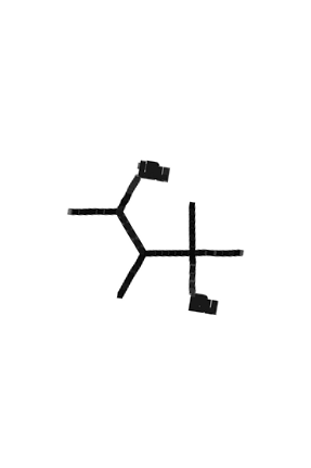 [CH2]C(C)(C)C(C)C(C)C(C)(C)C(C)CC